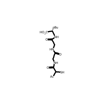 CCCC[C@H](NC(=O)CNC(=O)CNC(=O)C(S)C(C)=O)C(=O)O